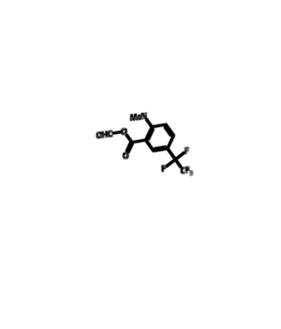 CNc1ccc(C(F)(F)C(F)(F)F)cc1C(=O)OC=O